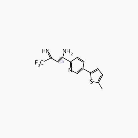 Cc1ccc(-c2ccc(/C(N)=C/C(=N)C(F)(F)F)nc2)s1